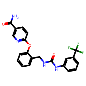 NC(=O)c1ccc(Oc2ccccc2CNC(=O)Nc2cccc(C(F)(F)F)c2)nc1